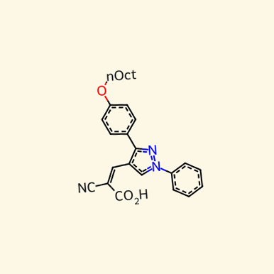 CCCCCCCCOc1ccc(-c2nn(-c3ccccc3)cc2/C=C(/C#N)C(=O)O)cc1